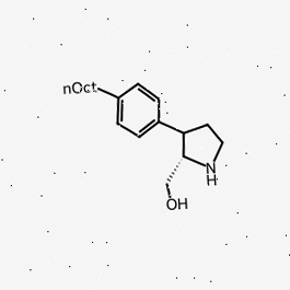 CCCCCCCCc1ccc(C2CCN[C@@H]2CO)cc1